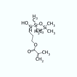 C=C(C)C(=O)OCCC[SiH](O)[Si](C)(C)O[Si](C)(C)C